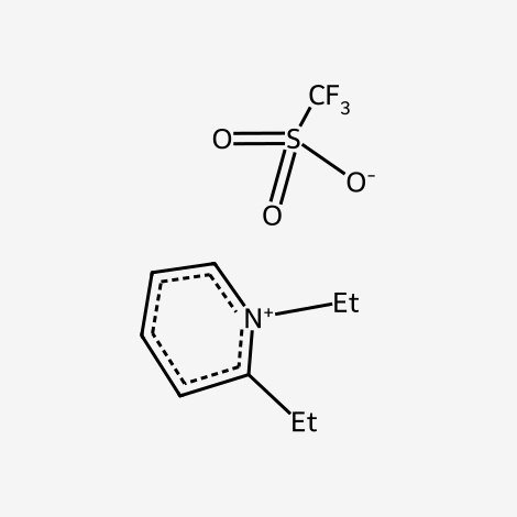 CCc1cccc[n+]1CC.O=S(=O)([O-])C(F)(F)F